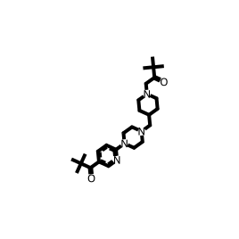 CC(C)(C)C(=O)CN1CCC(CN2CCN(c3ccc(C(=O)C(C)(C)C)cn3)CC2)CC1